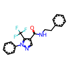 O=C(NCCc1ccccc1)c1cnn(-c2ccccc2)c1C(F)(F)F